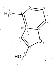 Cc1cccc2oc(C(=O)O)cc12